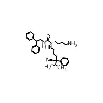 CC(C)C(C#N)(CCCN[C@@H](CCCCN)C(=O)NCC(c1ccccc1)c1ccccc1)c1ccccc1